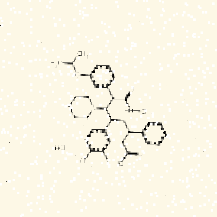 CNC(=O)C(c1cccc(OC(C)C)c1)C(C(CC(CC(=O)O)c1ccccc1)c1ccc(Cl)c(Cl)c1)N1CCCCC1.Cl